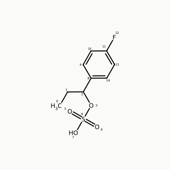 CCC(OS(=O)(=O)O)c1ccc(F)cc1